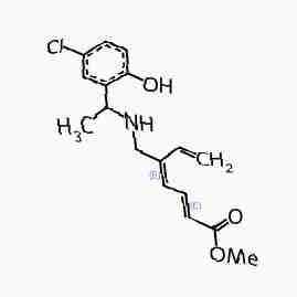 C=C/C(=C\C=C\C(=O)OC)CNC(C)c1cc(Cl)ccc1O